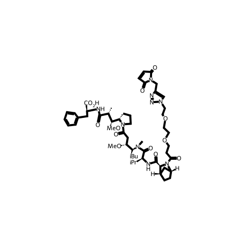 CC[C@H](C)[C@@H]([C@@H](CC(=O)N1CCC[C@H]1[C@H](OC)[C@@H](C)C(=O)N[C@@H](Cc1ccccc1)C(=O)O)OC)N(C)C(=O)[C@@H](NC(=O)[C@@H]1[C@H]2CC[C@H](C2)N1C(=O)CCOCCOCCn1cc(CN2C(=O)C=CC2=O)nn1)C(C)C